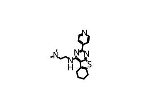 CN(C)CCNc1nc(-c2ccncc2)nc2sc3c(c12)CCCC3